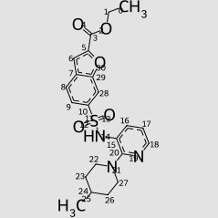 CCOC(=O)c1cc2ccc(S(=O)(=O)Nc3cccnc3N3CCC(C)CC3)cc2o1